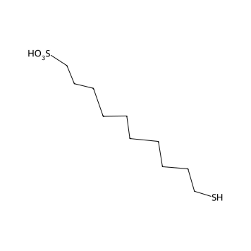 O=S(=O)(O)CCCCCCCCCCS